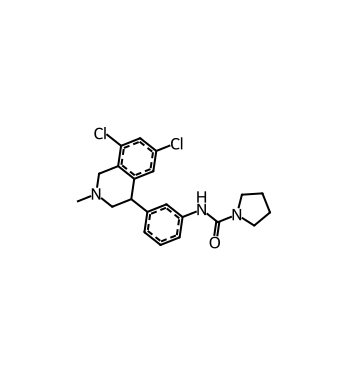 CN1Cc2c(Cl)cc(Cl)cc2C(c2cccc(NC(=O)N3CCCC3)c2)C1